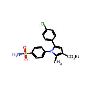 CCOC(=O)c1cc(-c2ccc(Cl)cc2)n(-c2ccc(S(N)(=O)=O)cc2)c1C